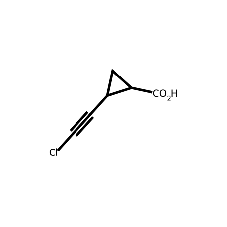 O=C(O)C1CC1C#CCl